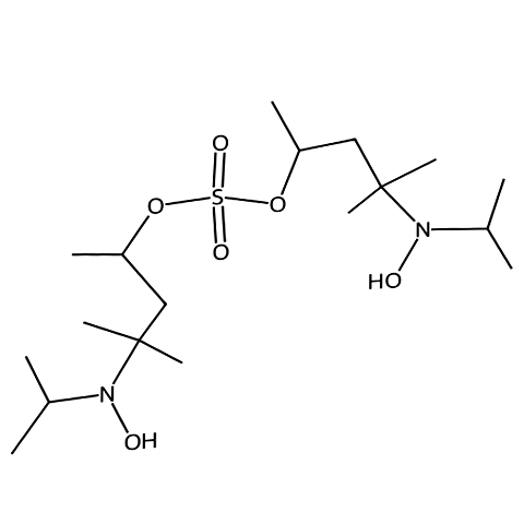 CC(CC(C)(C)N(O)C(C)C)OS(=O)(=O)OC(C)CC(C)(C)N(O)C(C)C